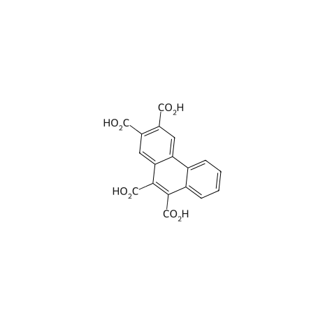 O=C(O)c1cc2c(C(=O)O)c(C(=O)O)c3ccccc3c2cc1C(=O)O